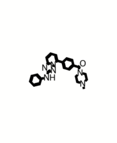 CN1CCN(C(=O)c2ccc(-c3cccc4nc(Nc5ccccc5)nn34)cc2)CC1